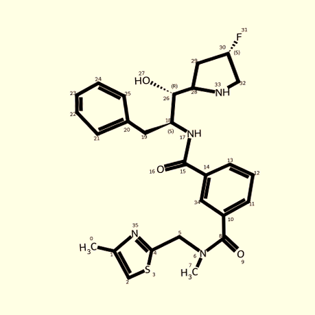 Cc1csc(CN(C)C(=O)c2cccc(C(=O)N[C@@H](Cc3ccccc3)[C@H](O)C3C[C@H](F)CN3)c2)n1